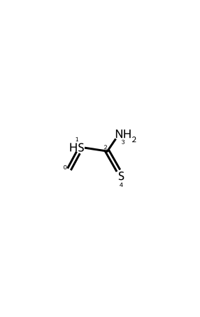 C=[SH]C(N)=S